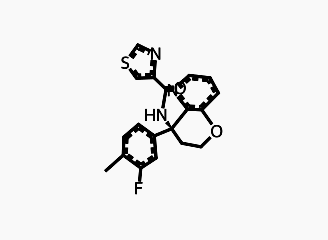 Cc1ccc([C@@]2(NC(=O)c3cscn3)CCOc3cccnc32)cc1F